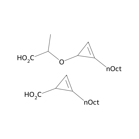 CCCCCCCCC1=CC1C(=O)O.CCCCCCCCC1=CC1OC(C)C(=O)O